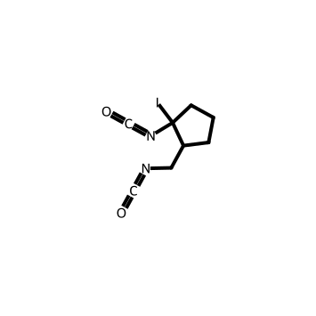 O=C=NCC1CCCC1(I)N=C=O